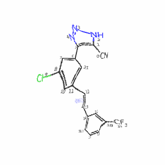 N#Cc1[nH]nnc1-c1cc(Cl)cc(/C=C/c2cccc(C(F)(F)F)c2)c1